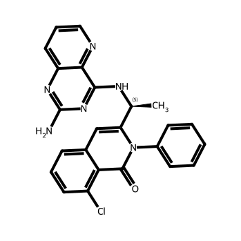 C[C@H](Nc1nc(N)nc2cccnc12)c1cc2cccc(Cl)c2c(=O)n1-c1ccccc1